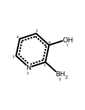 Bc1ncccc1O